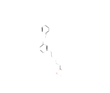 CC(C)(C)OC(=O)CCOCCc1cccc(OCc2ccccc2)c1